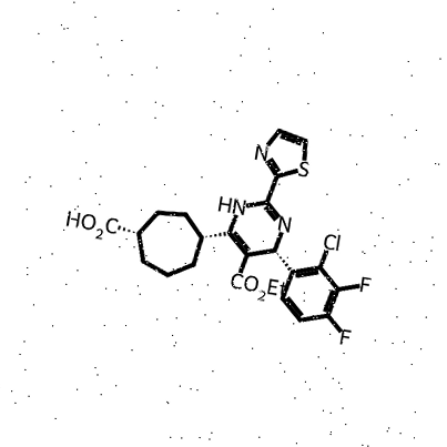 CCOC(=O)C1=C([C@@H]2CCC[C@H](C(=O)O)CC2)NC(c2nccs2)=N[C@@H]1c1ccc(F)c(F)c1Cl